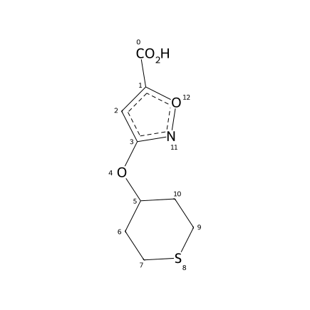 O=C(O)c1cc(OC2CCSCC2)no1